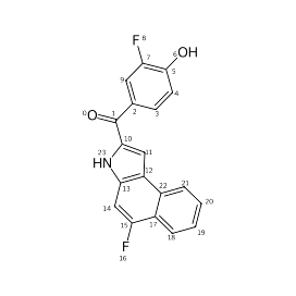 O=C(c1ccc(O)c(F)c1)c1cc2c(cc(F)c3ccccc32)[nH]1